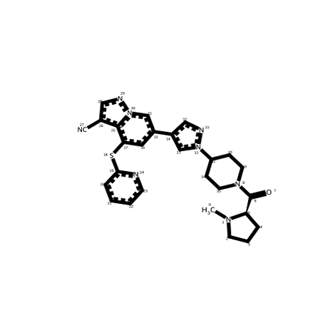 CN1CCC[C@@H]1C(=O)N1CCC(n2cc(-c3cc(Sc4ccccn4)c4c(C#N)cnn4c3)cn2)CC1